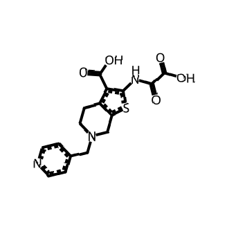 O=C(O)C(=O)Nc1sc2c(c1C(=O)O)CCN(Cc1ccncc1)C2